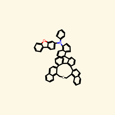 c1ccc(N(c2ccc3c(c2)oc2ccccc23)c2cccc3c(-c4cccc5c4-c4ccccc4-c4ccc6ccccc6c4CCCc4c-5ccc5ccccc45)cccc23)cc1